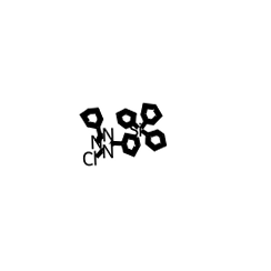 Clc1nc(-c2ccccc2)nc(-c2cccc([Si](c3ccccc3)(c3ccccc3)c3ccccc3)c2)n1